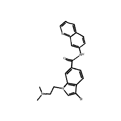 CN(C)CCn1cc(Br)c2ccc(C(=O)Nc3ccc4cccnc4c3)cc21